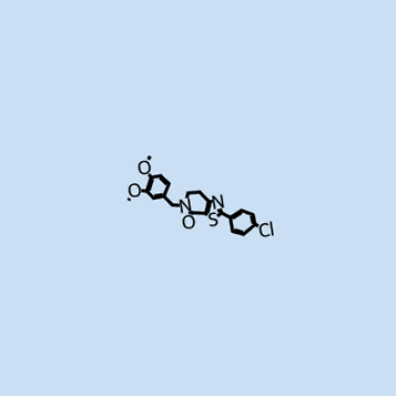 COc1ccc(CN2CCc3nc(-c4ccc(Cl)cc4)sc3C2=O)cc1OC